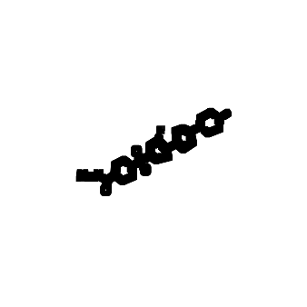 CNC(=O)C1=CCN(S(=O)(=O)c2ccc(-c3ccc(N4CCN(C)CC4)cc3)c(F)c2)CC1